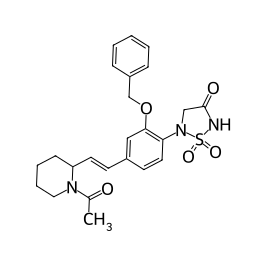 CC(=O)N1CCCCC1/C=C/c1ccc(N2CC(=O)NS2(=O)=O)c(OCc2ccccc2)c1